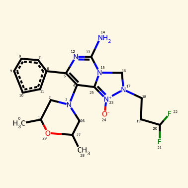 CC1CN(C2=C(c3ccccc3)N=C(N)N3CN(CCC(F)F)[N+]([O-])=C23)CC(C)O1